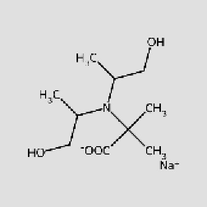 CC(CO)N(C(C)CO)C(C)(C)C(=O)[O-].[Na+]